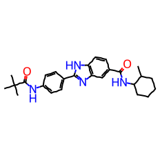 CC1CCCCC1NC(=O)c1ccc2[nH]c(-c3ccc(NC(=O)C(C)(C)C)cc3)nc2c1